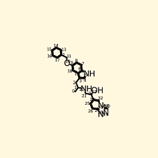 CC(Cc1c[nH]c2ccc(OCc3ccccc3)cc12)NCC(O)c1ccc2nnnn2c1